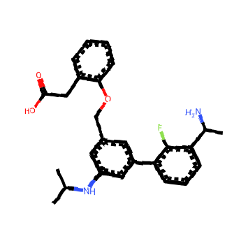 CC(C)Nc1cc(COc2ccccc2CC(=O)O)cc(-c2cccc(C(C)N)c2F)c1